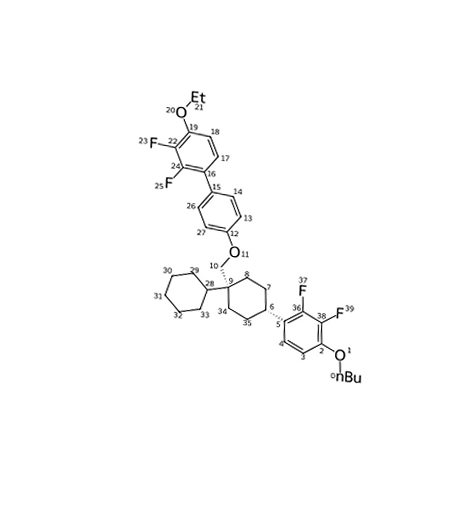 CCCCOc1ccc([C@H]2CC[C@](COc3ccc(-c4ccc(OCC)c(F)c4F)cc3)(C3CCCCC3)CC2)c(F)c1F